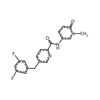 Cn1cc(NC(=O)c2ccc(Cc3cc(F)cc(F)c3)cn2)ccc1=O